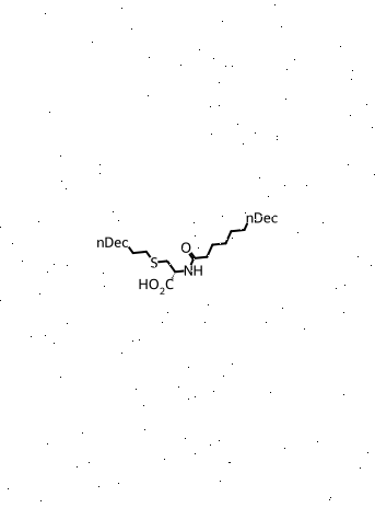 CCCCCCCCCCCCCCCC(=O)N[C@@H](CSCCCCCCCCCCCC)C(=O)O